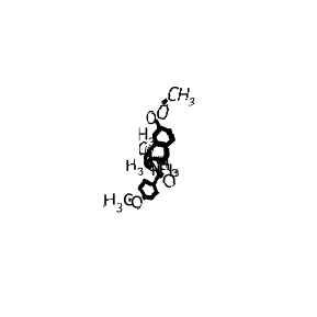 CCOC(=O)c1ccc2c(c1)[C@]1(C)CCN(C(=O)C3CCC(OC)CC3)[C@H](C2)C1(C)C